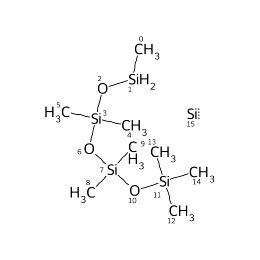 C[SiH2]O[Si](C)(C)O[Si](C)(C)O[Si](C)(C)C.[Si]